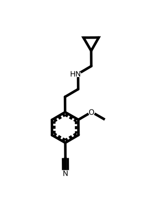 COc1cc(C#N)ccc1CCNCC1CC1